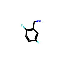 NCc1cc(F)ccc1F